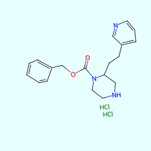 Cl.Cl.O=C(OCc1ccccc1)N1CCNCC1CCc1cccnc1